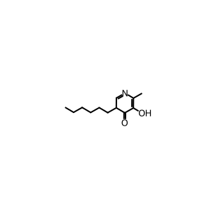 CCCCCCC1C=NC(C)=C(O)C1=O